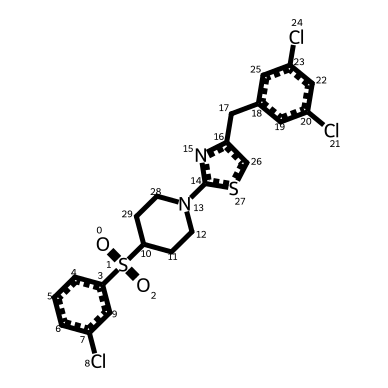 O=S(=O)(c1cccc(Cl)c1)C1CCN(c2nc(Cc3cc(Cl)cc(Cl)c3)cs2)CC1